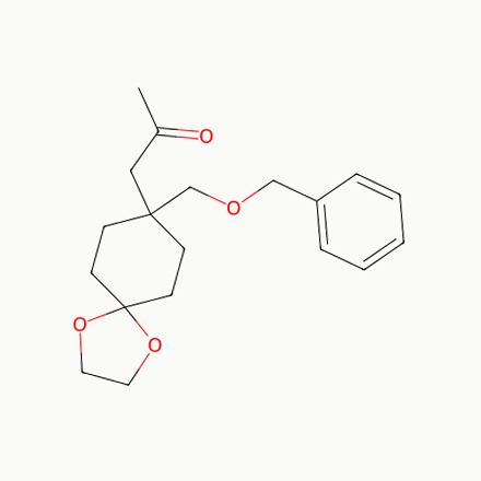 CC(=O)CC1(COCc2ccccc2)CCC2(CC1)OCCO2